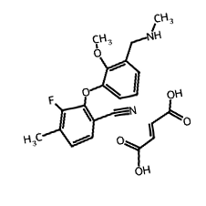 CNCc1cccc(Oc2c(C#N)ccc(C)c2F)c1OC.O=C(O)C=CC(=O)O